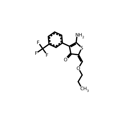 CCCOC=C1SC(N)=C(c2cccc(C(F)(F)F)c2)C1=O